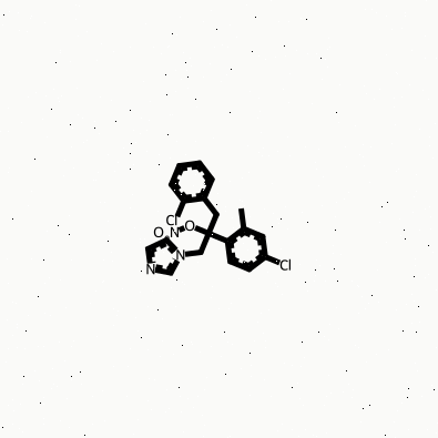 Cc1cc(Cl)ccc1C(Cc1ccccc1Cl)(Cn1ccnc1)O[N+](=O)[O-]